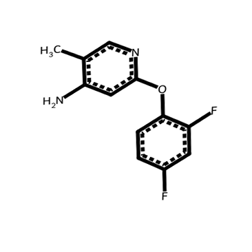 Cc1cnc(Oc2ccc(F)cc2F)cc1N